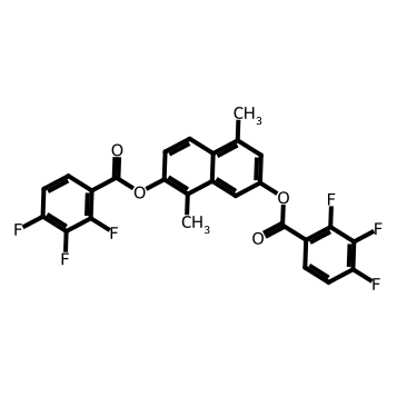 Cc1cc(OC(=O)c2ccc(F)c(F)c2F)cc2c(C)c(OC(=O)c3ccc(F)c(F)c3F)ccc12